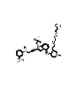 CN1CCC(Nc2cccc3c2cc(C#CCNc2cccc(O)c2)n3CC(F)(F)F)C(CCOCCOCCO)C1